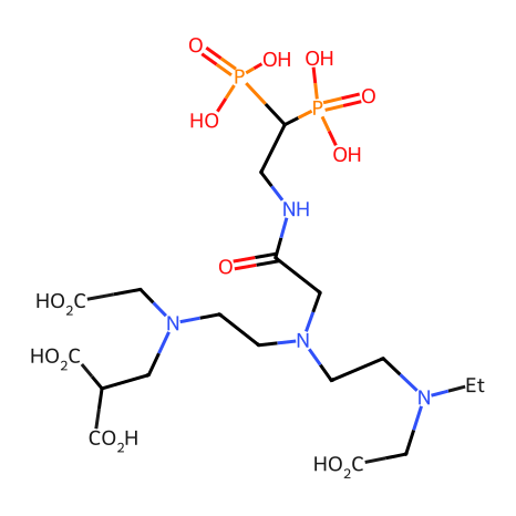 CCN(CCN(CCN(CC(=O)O)CC(C(=O)O)C(=O)O)CC(=O)NCC(P(=O)(O)O)P(=O)(O)O)CC(=O)O